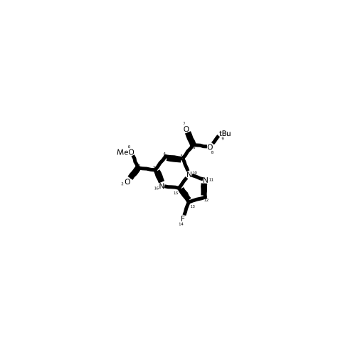 COC(=O)c1cc(C(=O)OC(C)(C)C)n2ncc(F)c2n1